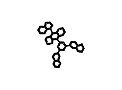 c1ccc2cc(-c3cc(-c4ccc5ccccc5c4)cc(-c4c5ccccc5c(-c5cccc6ccccc56)c5ccccc45)c3)ccc2c1